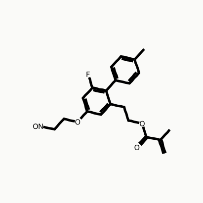 C=C(C)C(=O)OCCc1cc(OCCN=O)cc(F)c1-c1ccc(C)cc1